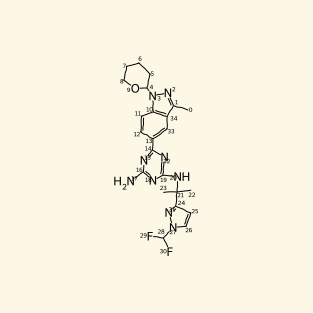 Cc1nn(C2CCCCO2)c2ccc(-c3nc(N)nc(NC(C)(C)c4ccn(C(F)F)n4)n3)cc12